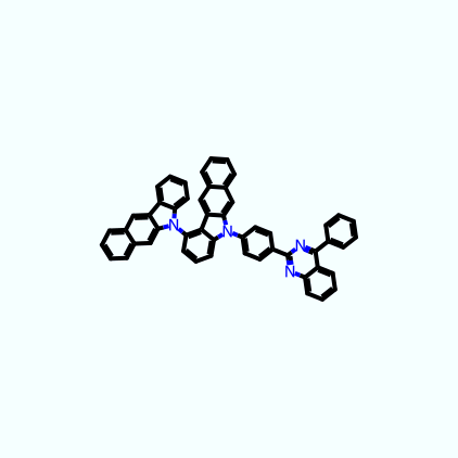 c1ccc(-c2nc(-c3ccc(-n4c5cc6ccccc6cc5c5c(-n6c7ccccc7c7cc8ccccc8cc76)cccc54)cc3)nc3ccccc23)cc1